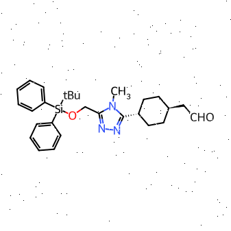 Cn1c(CO[Si](c2ccccc2)(c2ccccc2)C(C)(C)C)nnc1[C@H]1CC[C@H](CC=O)CC1